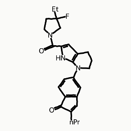 CCCC1=Cc2cc(N3CCCc4cc(C(=O)N5CCC(F)(CC)C5)[nH]c43)ccc2C1=O